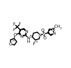 Cn1cc(S(=O)(=O)N2CC[C@@H](Nc3ncc(C(F)(F)F)c(O[C@H]4CCOC4)n3)[C@@H](F)C2)cn1